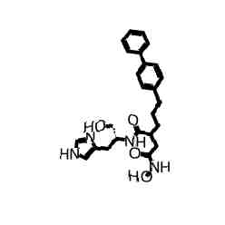 O=C(CC(CCCc1ccc(-c2ccccc2)cc1)C(=O)N[C@@H](CO)Cc1c[nH]cn1)NO